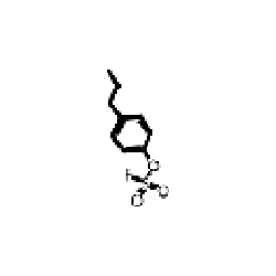 CCCc1ccc(OS(=O)(=O)F)cc1